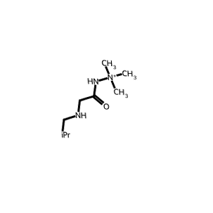 CC(C)CNCC(=O)N[N+](C)(C)C